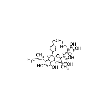 COc1ccc(-c2oc3c(CC=C(C)C)c(O)cc(O)c3c(=O)c2O[C@@H]2O[C@@H](C)[C@H](O)[C@@H](O)[C@H]2O[C@@H]2OC[C@@H](O)[C@H](O)[C@H]2O)cc1